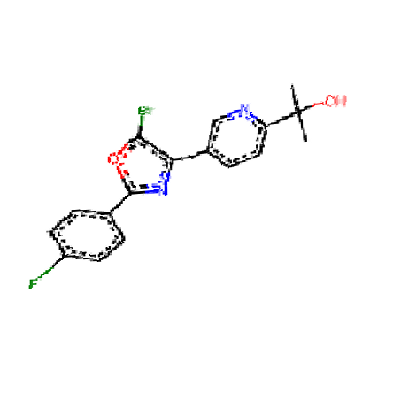 CC(C)(O)c1ccc(-c2nc(-c3ccc(F)cc3)oc2Br)cn1